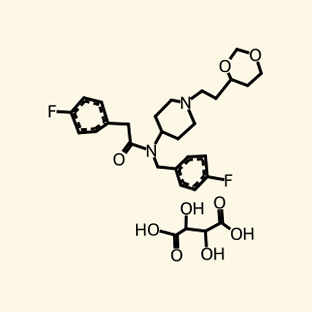 O=C(Cc1ccc(F)cc1)N(Cc1ccc(F)cc1)C1CCN(CCC2CCOCO2)CC1.O=C(O)C(O)C(O)C(=O)O